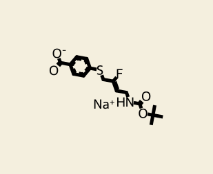 CC(C)(C)OC(=O)NC/C=C(\F)CSc1ccc(C(=O)[O-])cc1.[Na+]